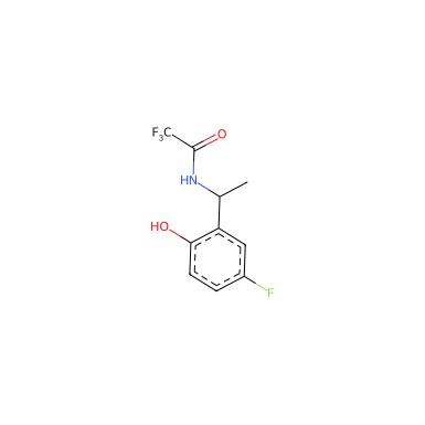 CC(NC(=O)C(F)(F)F)c1cc(F)ccc1O